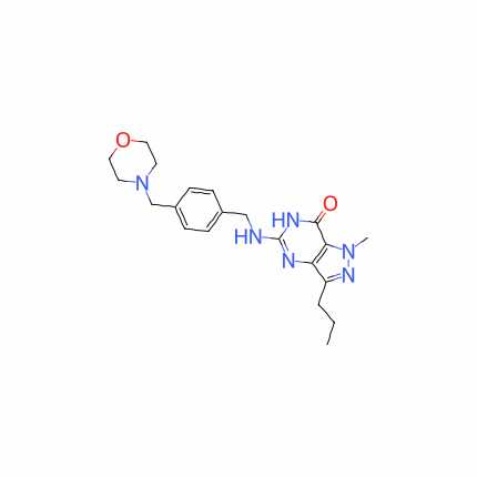 CCCc1nn(C)c2c(=O)[nH]c(NCc3ccc(CN4CCOCC4)cc3)nc12